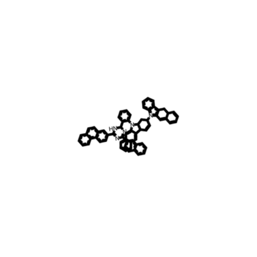 C1=CCC2C=C3C(=CC2=C1)N(c1ccccc1C1N=C(c2ccc4ccccc4c2)N=C(c2ccc4c(ccc5ccccc54)c2)N1)C1CC(n2c4c(c5ccccc52)CC2C=CC=CC2=C4)C=CC31